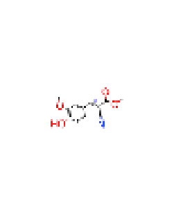 COC(=O)/C(C#N)=C/c1ccc(O)c(OC)c1